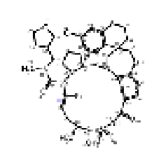 C[C@@H]1[C@@H](C)C/C=C(\F)[C@H](C(=O)N(C)CC2CCOC2)N2CCC[C@H]2CN2C[C@@]3(CCCc4cc(Cl)ccc43)COc3ccc(cc32)C(=O)NS1(=O)=O